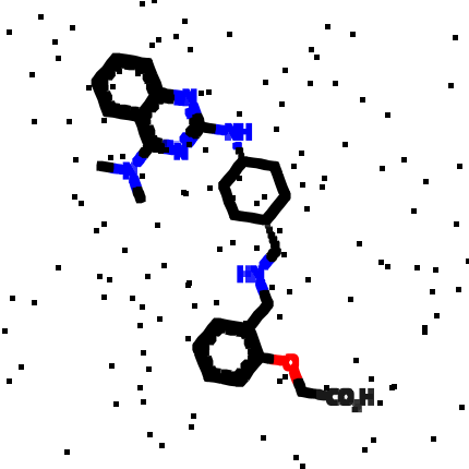 CN(C)c1nc(N[C@H]2CC[C@@H](CNCc3ccccc3OCC(=O)O)CC2)nc2ccccc12